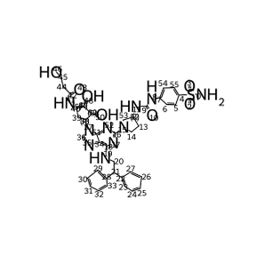 NS(=O)(=O)c1ccc(NC(=O)N[C@@H]2CCN(c3nc(NCC(c4ccccc4)c4ccccc4)c4ncn([C@@H]5C[C@H](NC(=O)CCO)[C@@H](O)[C@H]5O)c4n3)C2)cc1